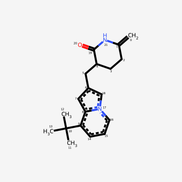 C=C1CCC(Cc2cc3c(C(C)(C)C)cccn3c2)C(=O)N1